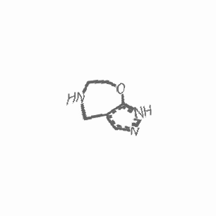 c1n[nH]c2c1CNCCO2